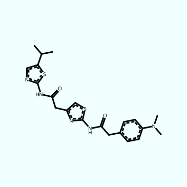 CC(C)c1cnc(NC(=O)Cc2csc(NC(=O)Cc3ccc(N(C)C)cc3)n2)s1